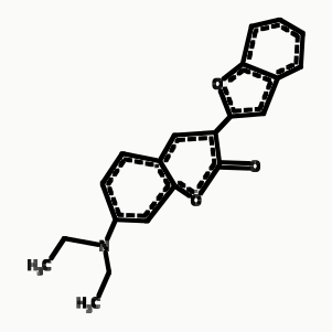 CCN(CC)c1ccc2cc(-c3cc4ccccc4o3)c(=O)oc2c1